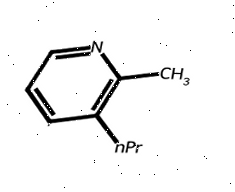 CCCc1[c]ccnc1C